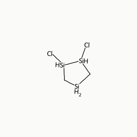 Cl[SiH]1C[SiH2]C[SiH]1Cl